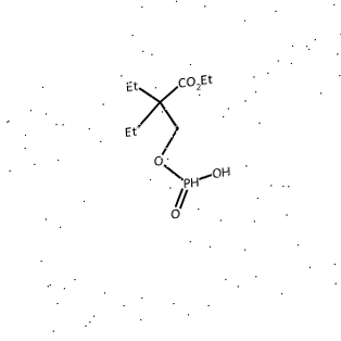 CCOC(=O)C(CC)(CC)CO[PH](=O)O